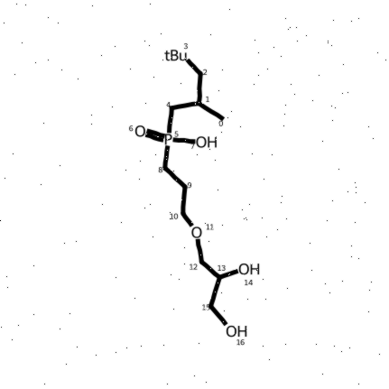 CC(CC(C)(C)C)CP(=O)(O)CCCOCC(O)CO